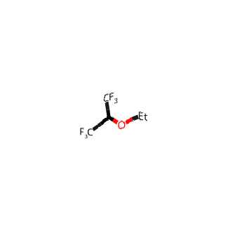 CCOC(C(F)(F)F)C(F)(F)F